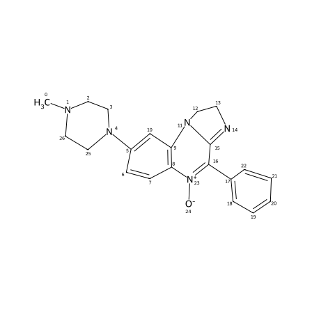 CN1CCN(c2ccc3c(c2)N2CCN=C2C(c2ccccc2)=[N+]3[O-])CC1